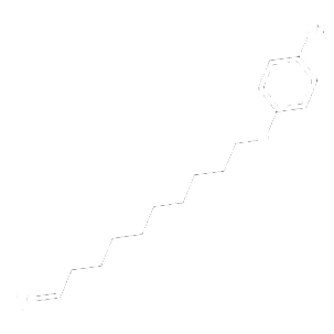 C=CCCCCCCCCCOc1ccc(C#N)cc1